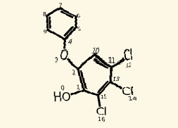 Oc1c(Oc2ccccc2)cc(Cl)c(Cl)c1Cl